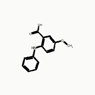 COc1ccc(Nc2ccccc2)c(C(=O)O)c1